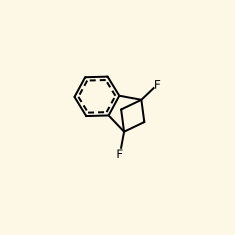 FC12CC(F)(C1)c1ccccc12